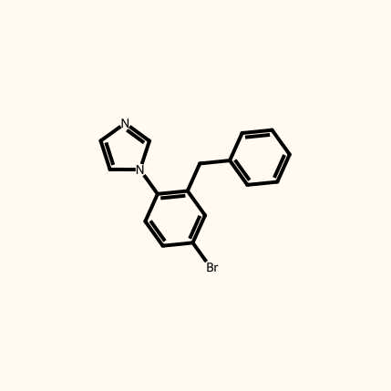 Brc1ccc(-n2ccnc2)c(Cc2ccccc2)c1